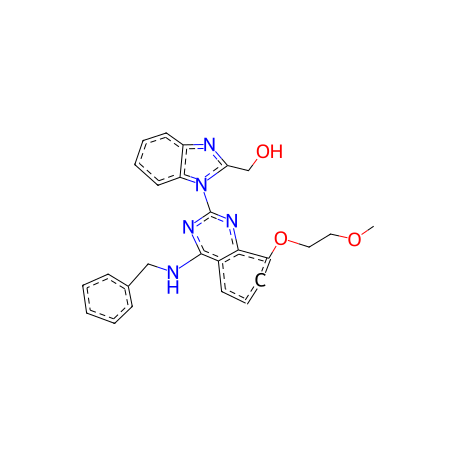 COCCOc1cccc2c(NCc3ccccc3)nc(-n3c(CO)nc4ccccc43)nc12